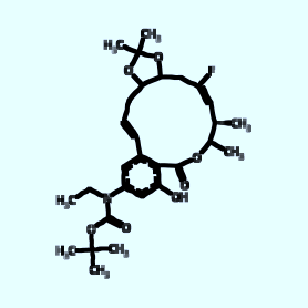 CCN(C(=O)OC(C)(C)C)c1cc(O)c2c(c1)/C=C/CC1OC(C)(C)OC1C/C(F)=C\[C@@H](C)C(C)OC2=O